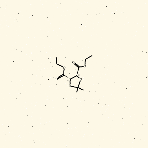 CCOC(=O)[C@H]1OC(C)(C)O[C@@H]1C(=O)OCC